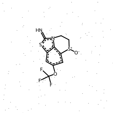 N=c1sc2cc(OC(F)(F)F)cc3c2n1CC[S+]3[O-]